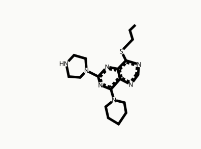 CCCSc1ncnc2c(N3CCCCC3)nc(N3CCNCC3)nc12